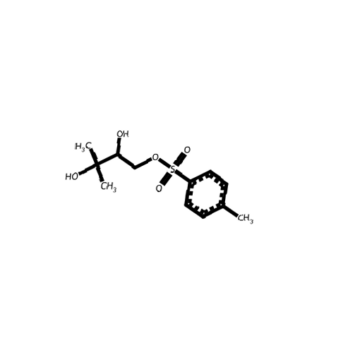 Cc1ccc(S(=O)(=O)OCC(O)C(C)(C)O)cc1